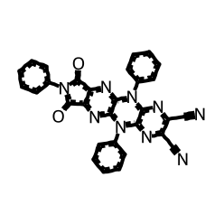 N#Cc1nc2c(nc1C#N)n(-c1ccccc1)c1nc3c(=O)n(-c4ccccc4)c(=O)c3nc1n2-c1ccccc1